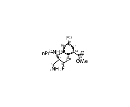 CCCN/C(=C(\C=N)C(F)F)c1cc(F)cc(C(=O)OC)c1